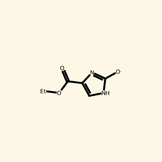 CCOC(=O)c1c[nH]c([O])n1